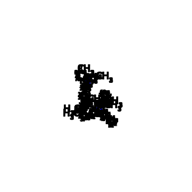 C/C1=C/C=C(N(c2ccc(C)cc2)c2ccc(-c3ccc4c(c3)C(C)(C)c3cc5c(cc3-4)C(C)(C)c3cccc(-c4ccc(N(c6ccc(-c7ccccc7)cc6)c6ccc7c(c6)C(C)(C)c6ccccc6-7)cc4)c3-5)cc2)\C=C/CC1